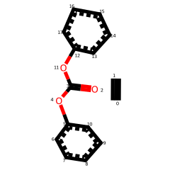 C#C.O=C(Oc1ccccc1)Oc1ccccc1